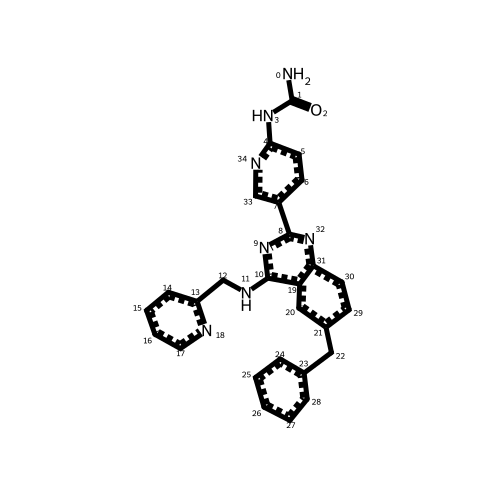 NC(=O)Nc1ccc(-c2nc(NCc3ccccn3)c3cc(Cc4ccccc4)ccc3n2)cn1